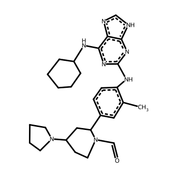 Cc1cc(C2CC(N3CCCC3)CCN2C=O)ccc1Nc1nc(NC2CCCCC2)c2nc[nH]c2n1